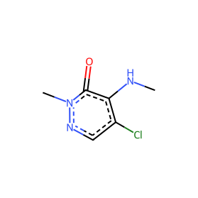 CNc1c(Cl)cnn(C)c1=O